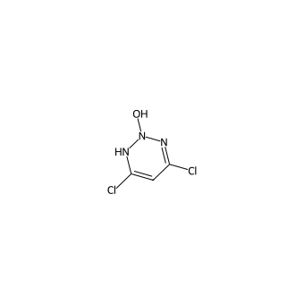 ON1N=C(Cl)C=C(Cl)N1